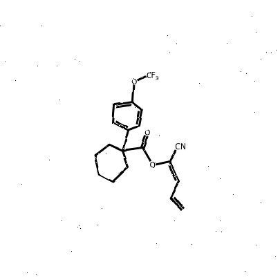 C=C/C=C(/C#N)OC(=O)C1(c2ccc(OC(F)(F)F)cc2)CCCCC1